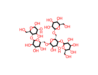 OC[C@H]1O[C@H](OC[C@H]2O[C@H](OC[C@H]3O[C@H](O[C@H]4[C@H](O)[C@@H](O)[C@@H](O)O[C@@H]4CO)[C@H](O)[C@@H](O)[C@@H]3O)[C@H](O)[C@@H](O)[C@@H]2OC2O[C@H](CO)[C@@H](O)[C@H](O)[C@H]2O)[C@H](O)[C@@H](O)[C@@H]1O